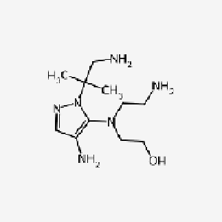 CC(C)(CN)n1ncc(N)c1N(CCN)CCO